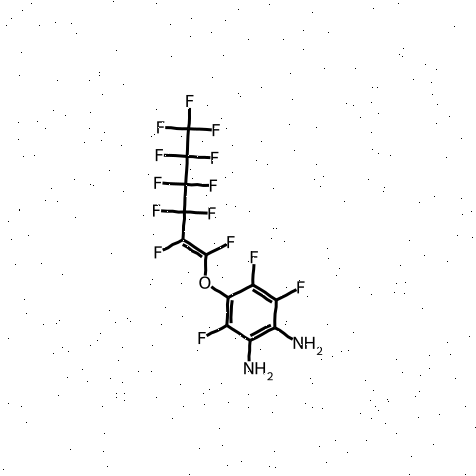 Nc1c(N)c(F)c(OC(F)=C(F)C(F)(F)C(F)(F)C(F)(F)C(F)(F)F)c(F)c1F